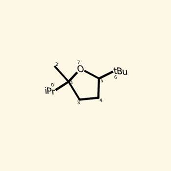 CC(C)C1(C)CCC(C(C)(C)C)O1